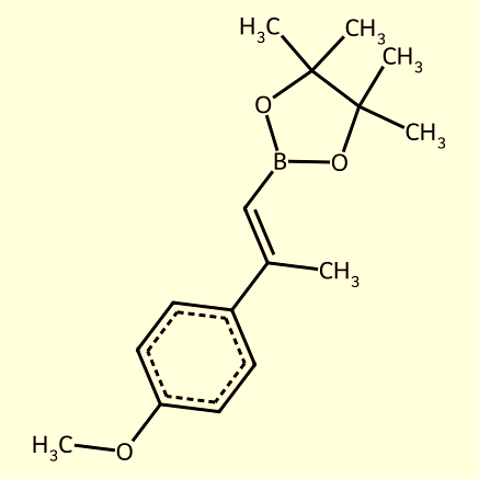 COc1ccc(C(C)=CB2OC(C)(C)C(C)(C)O2)cc1